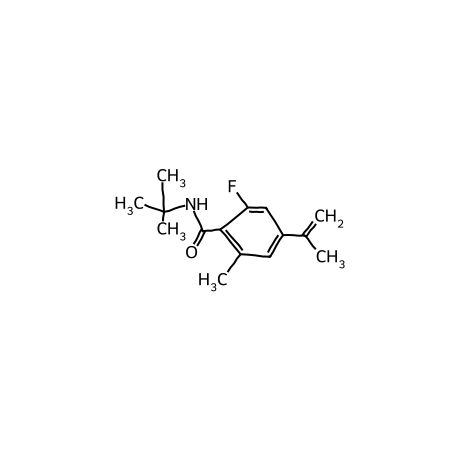 C=C(C)c1cc(C)c(C(=O)NC(C)(C)C)c(F)c1